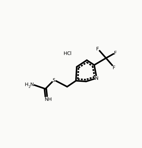 Cl.N=C(N)SCc1ccc(C(F)(F)F)nc1